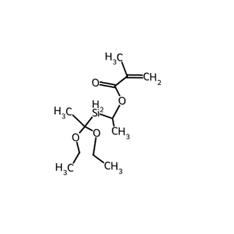 C=C(C)C(=O)OC(C)[SiH2]C(C)(OCC)OCC